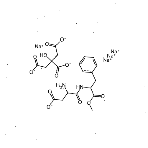 COC(=O)C(Cc1ccccc1)NC(=O)C(N)CC(=O)[O-].O=C([O-])CC(O)(CC(=O)[O-])C(=O)[O-].[Na+].[Na+].[Na+].[Na+]